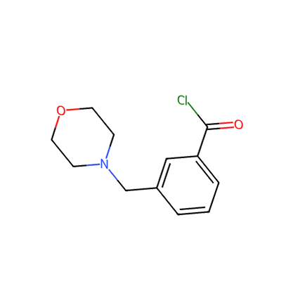 O=C(Cl)c1cccc(CN2CCOCC2)c1